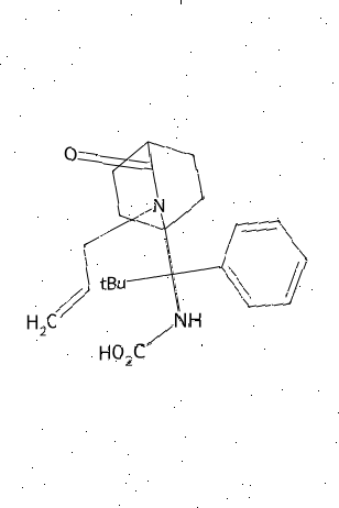 C=CCN1C(=O)C2CCC1(C(NC(=O)O)(c1ccccc1)C(C)(C)C)CC2